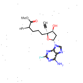 C#C[C@@]1(CCCC(CCC)C(=O)OC)O[C@@H](n2cnc3c(N)nc(F)nc32)C[C@@H]1O